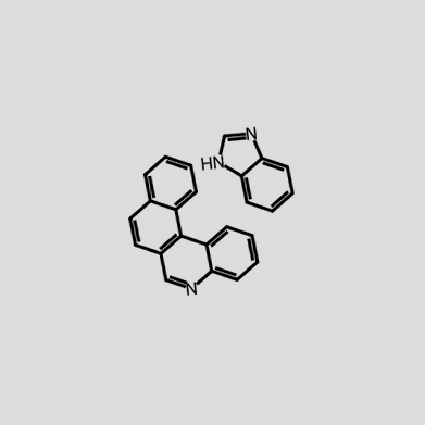 c1ccc2[nH]cnc2c1.c1ccc2c(c1)ccc1cnc3ccccc3c12